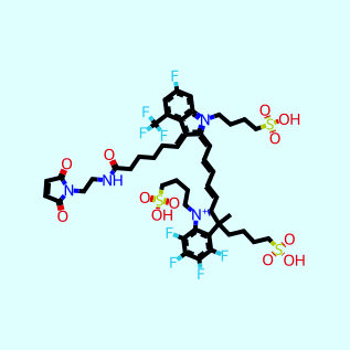 CC1(CCCCS(=O)(=O)O)C(/C=C/C=C/C=c2\c(=C\CCCCC(=O)NCCN3C(=O)C=CC3=O)c3c(C(F)(F)F)cc(F)cc3n2CCCCS(=O)(=O)O)=[N+](CCCCS(=O)(=O)O)c2c(F)c(F)c(F)c(F)c21